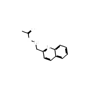 CC(=O)ONCc1ccc2ccccc2n1